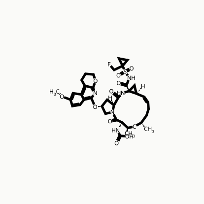 COc1ccc2c(O[C@@H]3C[C@H]4C(=O)N[C@]5(C(=O)NS(=O)(=O)C6(CF)CC6)C[C@H]5C=CCC[C@H](C)C[C@@H](C)[C@H](NC(=O)O)C(=O)N4C3)nc3c(c2c1)CCCO3